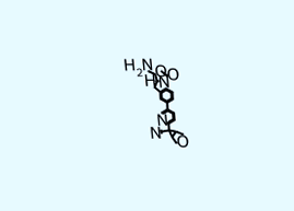 N#CC1(c2ccc(-c3ccc4c(c3)C[C@H]3C(CN)OC(=O)N43)cn2)C2COCC21